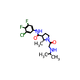 CC(C)NCC(=O)N1CCC(C(=O)Nc2cc(F)c(F)c(Cl)c2)[C@@H]1C